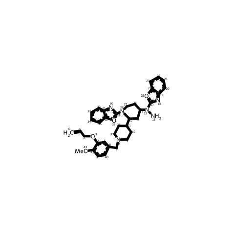 C=CCOc1cc(CN2CCC(C3CC(N(N)c4nc5ccccc5o4)CCN3c3nc4ccccc4o3)CC2)ccc1OC